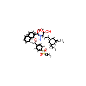 C=C1CC(C)CC(CC[C@H](NC(=O)c2ccc3ccccc3c2OCc2ccc(S(C)(=O)=O)cc2)C(=O)O)C1